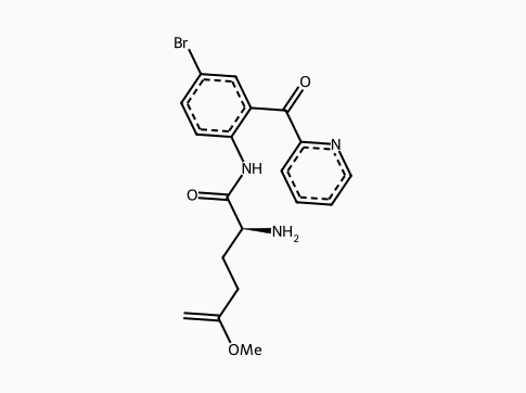 C=C(CC[C@H](N)C(=O)Nc1ccc(Br)cc1C(=O)c1ccccn1)OC